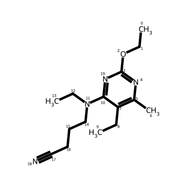 CCOc1nc(C)c(CC)c(N(CC)CCCC#N)n1